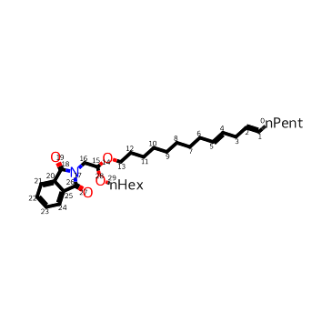 CCCCCC=CCC=CCCCCCCCCOC(CN1C(=O)c2ccccc2C1=O)OCCCCCC